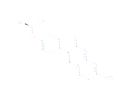 COc1ccn2c(=O)c(-c3ccc(O[C@H](C)C#N)cc3)c(C(F)(F)F)nc2n1